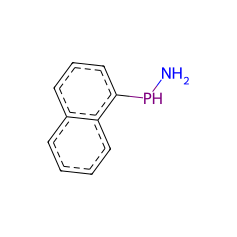 NPc1cccc2ccccc12